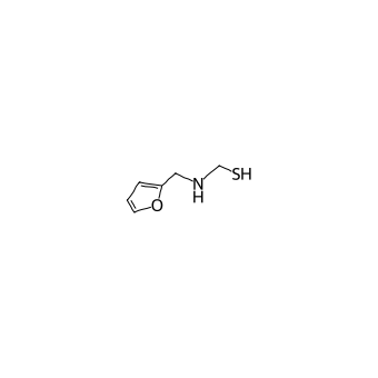 SCNCc1ccco1